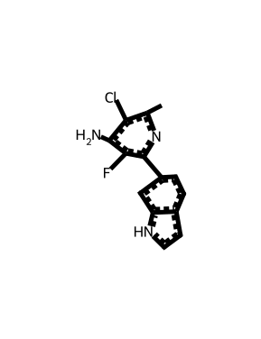 Cc1nc(-c2ccc3cc[nH]c3c2)c(F)c(N)c1Cl